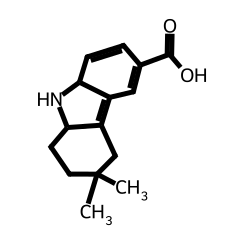 CC1(C)CCC2NC3C=CC(C(=O)O)=CC3=C2C1